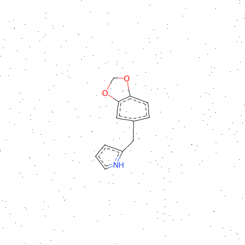 c1c[nH]c(Cc2ccc3c(c2)OCO3)c1